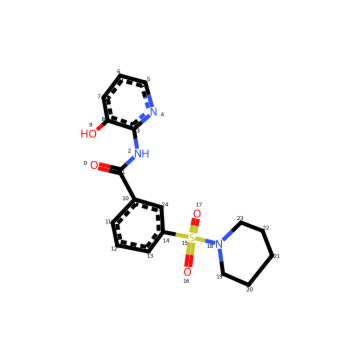 O=C(Nc1ncccc1O)c1cccc(S(=O)(=O)N2CCCCC2)c1